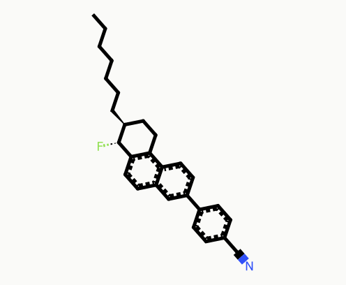 CCCCCCC[C@H]1CCc2c(ccc3cc(-c4ccc(C#N)cc4)ccc23)[C@@H]1F